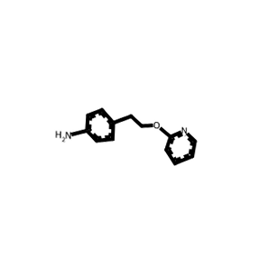 Nc1ccc(CCOc2ccccn2)cc1